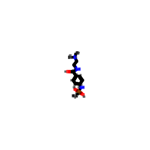 CC(C)N(CCNC(=O)c1ccc(NS(C)(=O)=O)cc1)C(C)C